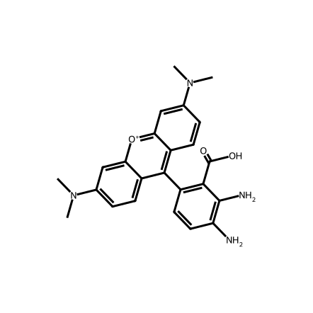 CN(C)c1ccc2c(-c3ccc(N)c(N)c3C(=O)O)c3ccc(N(C)C)cc3[o+]c2c1